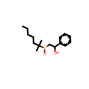 CCCCCC(C)(C)[S+]([O-])CC(O)c1ccccc1